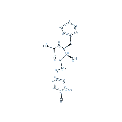 O=C(O)N[C@@H](Cc1ccccc1)[C@@H](O)CNCc1ccc(Cl)c(Cl)c1